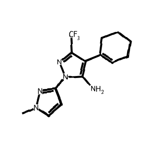 Cn1ccc(-n2nc(C(F)(F)F)c(C3=CCCCC3)c2N)n1